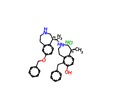 C[C@@H]1CNCCc2c1ccc(O)c2Cc1ccccc1.C[C@@H]1CNCCc2cc(OCc3ccccc3)ccc21.Cl